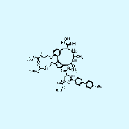 CCCCc1ccc(-c2ccc(C(=O)N[C@@H](CNC(=O)OC(C)(C)C)C(=O)N(C)[C@@H]3C(=O)N[C@@H](C)C(=O)N[C@H](C(=N)NO)Cc4ccc(OCCNC(=O)OC(C)(C)C)c(c4)-c4cc3ccc4OCCNC(=O)OC(C)(C)C)cc2)cc1